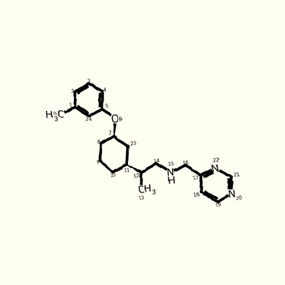 Cc1cccc(O[C@@H]2CCC[C@H](C(C)CNCc3ccncn3)C2)c1